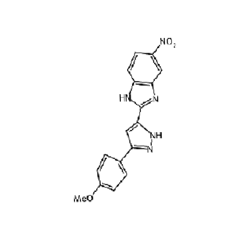 COc1ccc(-c2cc(-c3nc4cc([N+](=O)[O-])ccc4[nH]3)[nH]n2)cc1